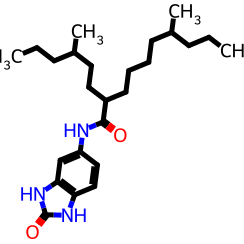 CCCC(C)CCCCC(CCC(C)CCC)C(=O)Nc1ccc2[nH]c(=O)[nH]c2c1